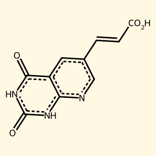 O=C(O)C=Cc1cnc2[nH]c(=O)[nH]c(=O)c2c1